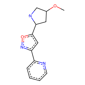 COC1C[N]C(c2cc(-c3ccccn3)no2)C1